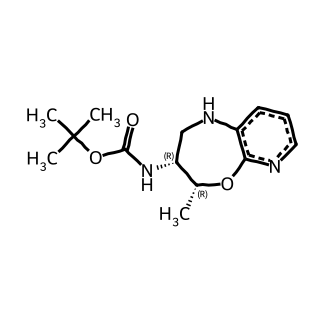 C[C@H]1Oc2ncccc2NC[C@H]1NC(=O)OC(C)(C)C